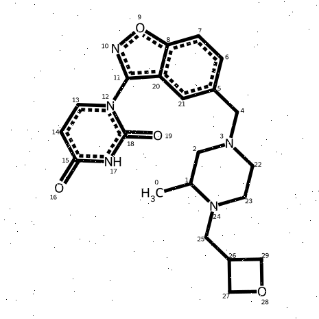 CC1CN(Cc2ccc3onc(-n4ccc(=O)[nH]c4=O)c3c2)CCN1CC1COC1